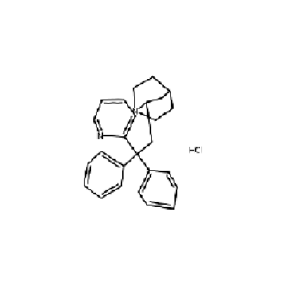 Cl.c1ccc(C(CC2CC3CCN2CC3)(c2ccccc2)c2ccccn2)cc1